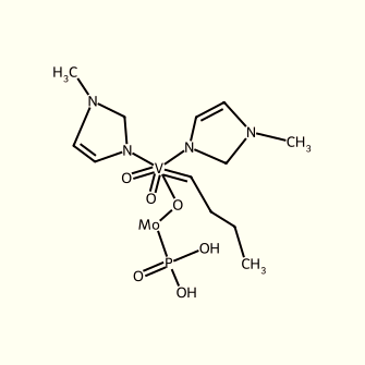 CCC[CH]=[V](=[O])(=[O])([O][Mo][P](=O)(O)O)([N]1C=CN(C)C1)[N]1C=CN(C)C1